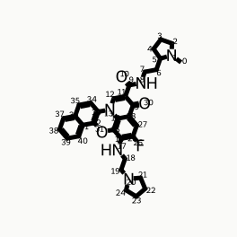 CN1CCCC1CCNC(=O)c1cn2c3c(c(NCCN4CCCC4)c(F)cc3c1=O)Oc1c-2ccc2ccccc12